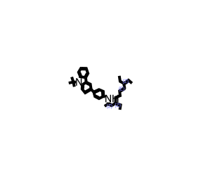 C/C=C(\C=C(\C)Nc1ccc(-c2ccc3c(c2)c2ccccc2n3C(C)(C)C)cc1)CC/C=C/C(=C\C)CC